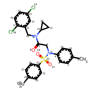 Cc1ccc(N(CC(=O)N(Cc2cc(Cl)ccc2Cl)C2CC2)S(=O)(=O)c2ccc(C(C)(C)C)cc2)cc1